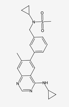 Cc1cc2ncnc(NC3CC3)c2cc1-c1cccc(CN(C2CC2)S(C)(=O)=O)c1